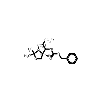 CCOC(=O)CC(NC(=O)OCc1ccccc1)[C@@]1(C(C)(C)C)COC(C)(C)N1C(=O)O